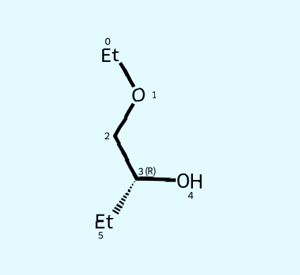 CCOC[C@H](O)CC